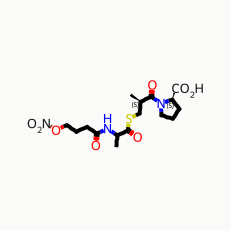 CC(NC(=O)CCCO[N+](=O)[O-])C(=O)SC[C@@H](C)C(=O)N1CCC[C@H]1C(=O)O